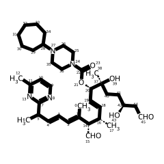 C/C(=C\C=C\C(C)c1nccc(C)n1)[C@@H](C=O)[C@@H](C)/C=C/[C@H](OC(=O)N1CCN(C2CCCCCC2)CC1)[C@@](C)(O)CC[C@H](O)CC=O